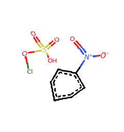 O=S(=O)(O)OCl.O=[N+]([O-])c1ccccc1